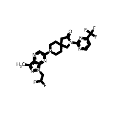 Cc1nn(CC(F)F)c2nc(N3CCC4(CC3)CC(=O)N(c3nccc(C(F)(F)F)n3)C4)cnc12